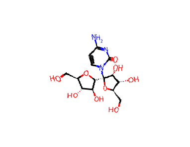 Nc1ccn([C@]2(C3O[C@H](CO)[C@@H](O)[C@@H]3O)O[C@H](CO)[C@@H](O)[C@H]2O)c(=O)n1